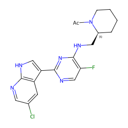 CC(=O)N1CCCC[C@H]1CNc1nc(-c2c[nH]c3ncc(Cl)cc23)ncc1F